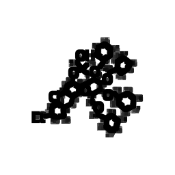 CCc1ccc(Cc2cc3c(cc2Cl)OC(C)(CO)C[C@]32O[C@H](COCc3ccccc3)[C@@H](OCc3ccccc3)[C@H](OCc3ccccc3)[C@H]2OCc2ccccc2)cc1